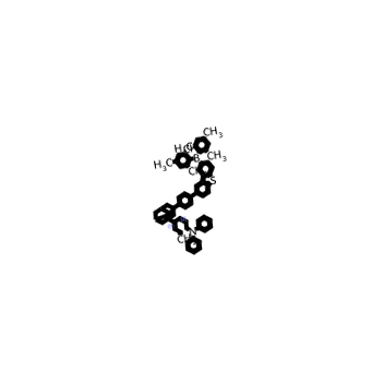 C=C/C=C(\C=C/CN(c1ccccc1)c1ccccc1)C12CC3CC(C1)CC(c1ccc(-c4ccc5sc6ccc(B(c7c(C)cc(C)cc7C)c7c(C)cc(C)cc7C)cc6c5c4)cc1)(C3)C2